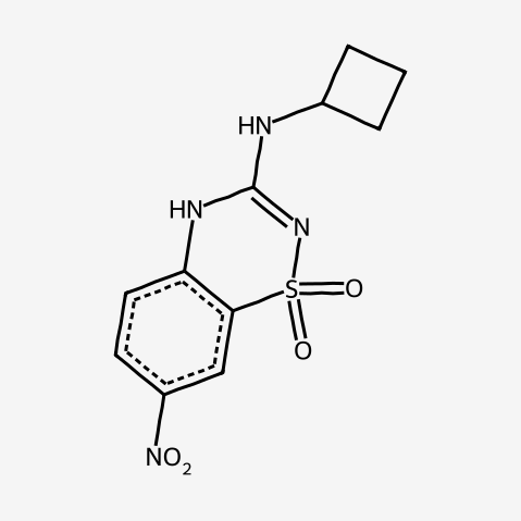 O=[N+]([O-])c1ccc2c(c1)S(=O)(=O)N=C(NC1CCC1)N2